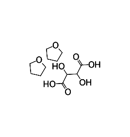 C1CCOC1.C1CCOC1.O=C(O)C(O)C(O)C(=O)O